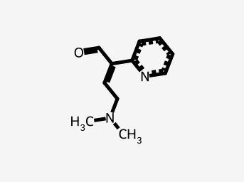 CN(C)C/C=C(/C=O)c1ccccn1